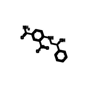 NC(=O)c1ccc(NC[C@@H](O)c2ccccc2)c([N+](=O)[O-])c1